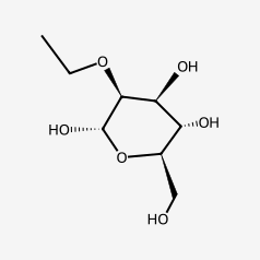 CCO[C@H]1[C@@H](O)[C@H](O)[C@@H](CO)O[C@@H]1O